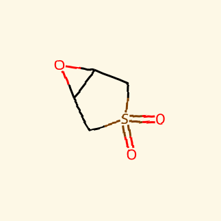 O=S1(=O)CC2OC2C1